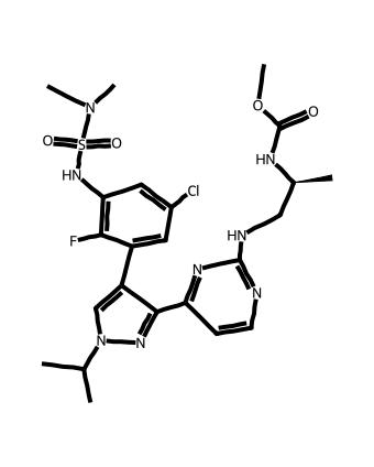 COC(=O)N[C@@H](C)CNc1nccc(-c2nn(C(C)C)cc2-c2cc(Cl)cc(NS(=O)(=O)N(C)C)c2F)n1